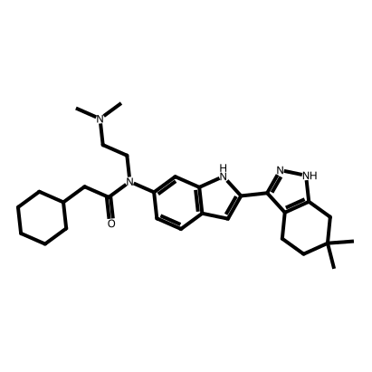 CN(C)CCN(C(=O)CC1CCCCC1)c1ccc2cc(-c3n[nH]c4c3CCC(C)(C)C4)[nH]c2c1